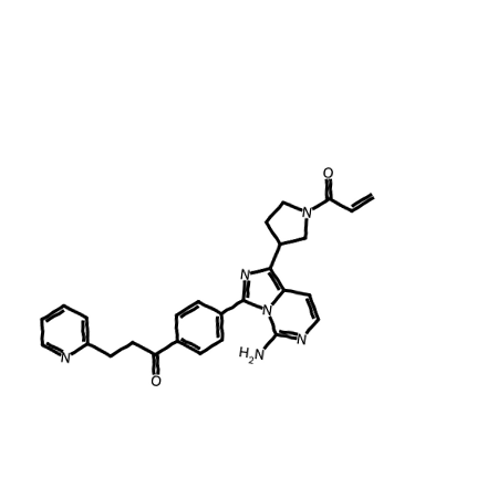 C=CC(=O)N1CCC(c2nc(-c3ccc(C(=O)CCc4ccccn4)cc3)n3c(N)nccc23)C1